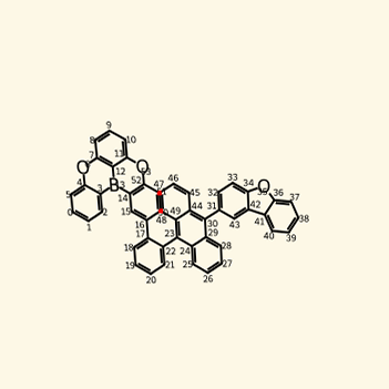 c1ccc2c(c1)Oc1cccc3c1B2c1cc(-c2ccccc2-c2c4ccccc4c(-c4ccc5oc6ccccc6c5c4)c4ccccc24)ccc1O3